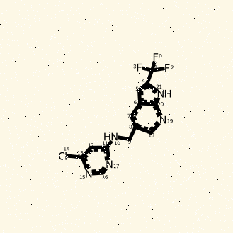 FC(F)(F)c1cc2cc(CNc3cc(Cl)ncn3)cnc2[nH]1